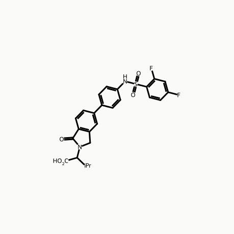 CC(C)C(C(=O)O)N1Cc2cc(-c3ccc(NS(=O)(=O)c4ccc(F)cc4F)cc3)ccc2C1=O